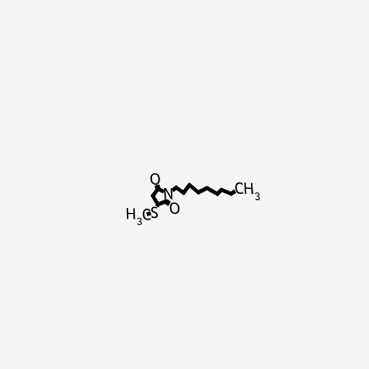 CCCCCCCCCN1C(=O)CC(SC)C1=O